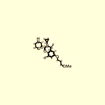 COCCCOc1cc(F)cc([C@H](C)N(C(=O)[C@H]2CNCCO2)C2CC2)c1